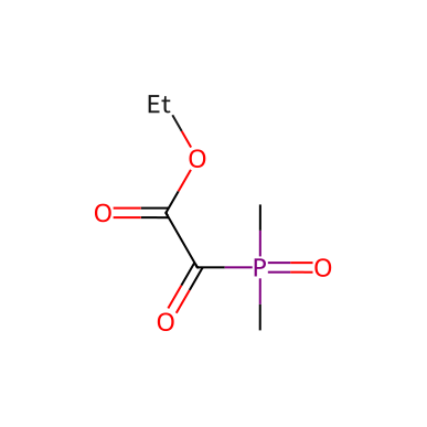 CCOC(=O)C(=O)P(C)(C)=O